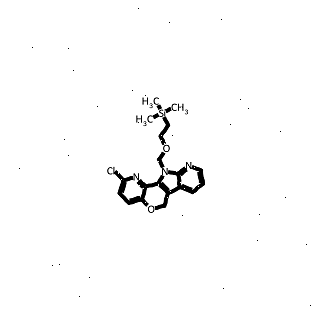 C[Si](C)(C)CCOCn1c2c(c3cccnc31)COc1ccc(Cl)nc1-2